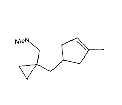 CNCC1(CC2CC=C(C)C2)CC1